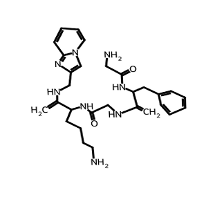 C=C(NCc1cn2ccccc2n1)C(CCCCN)NC(=O)CNC(=C)C(Cc1ccccc1)NC(=O)CN